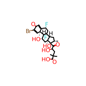 C[C@@H]1C[C@H]2[C@@H]3C[C@@H](F)C4=CC(=O)C(Br)=C[C@]4(C)[C@@]3(F)[C@@H](O)C[C@]2(C)[C@@]1(O)C(=O)C(O)CC(C)(C)C(=O)O